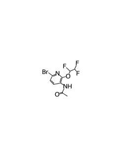 CC(=O)Nc1ccc(Br)nc1OC(F)C(F)F